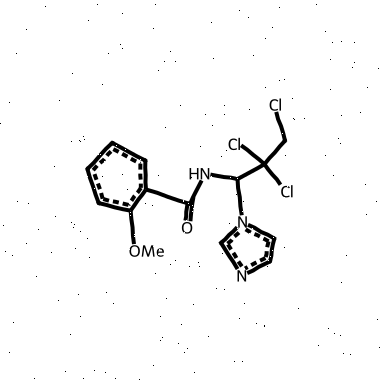 COc1ccccc1C(=O)NC(n1ccnc1)C(Cl)(Cl)CCl